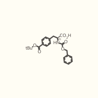 CC(C)(C)OC(=O)c1ccc(C[C@H](NC(=O)OCc2ccccc2)C(=O)O)cc1